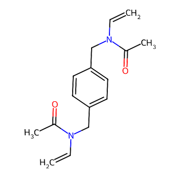 C=CN(Cc1ccc(CN(C=C)C(C)=O)cc1)C(C)=O